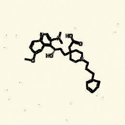 COc1ccc2ncc(N(C)C)c([C@@H](O)CCC3(CC(=O)O)CCN(CCCc4ccccc4)CC3)c2c1